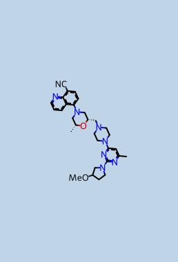 COC1CCN(c2nc(C)cc(N3CCN(C[C@H]4CN(c5ccc(C#N)c6ncccc56)C[C@@H](C)O4)CC3)n2)C1